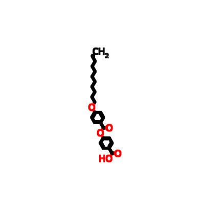 C=CCCCCCCCCCOc1ccc(C(=O)Oc2ccc(C(=O)O)cc2)cc1